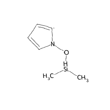 C[SiH](C)On1[c]ccc1